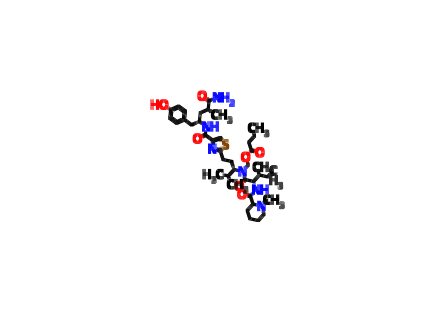 CCCC(=O)OCN(C(=O)[C@@H](NC(=O)C1CCCCN1C)C(C)CC)[C@H](CCc1nc(C(=O)N[C@@H](Cc2ccc(O)cc2)C[C@H](C)C(N)=O)cs1)C(C)C